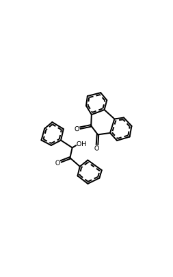 O=C(c1ccccc1)C(O)c1ccccc1.O=C1C(=O)c2ccccc2-c2ccccc21